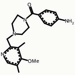 COc1c(C)cnc(CN2CCN(C(=O)c3ccc(N)cc3)CC2)c1C